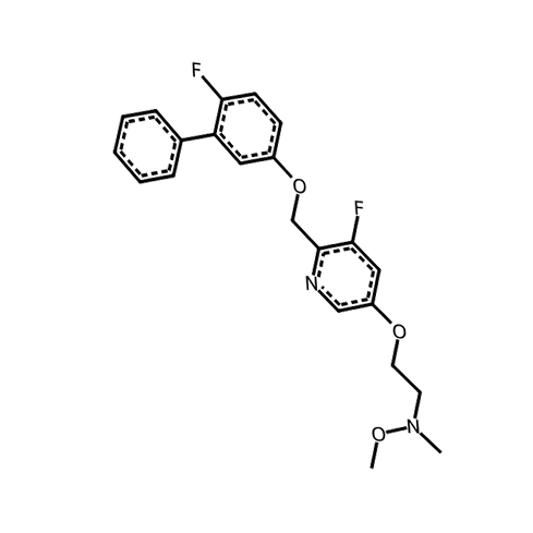 CON(C)CCOc1cnc(COc2ccc(F)c(-c3ccccc3)c2)c(F)c1